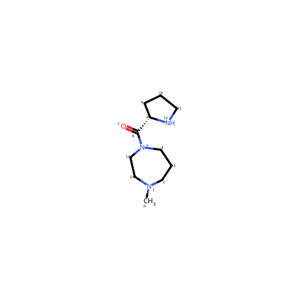 CN1CCCN(C(=O)[C@@H]2CCCN2)CC1